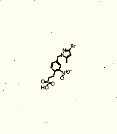 Cc1cc(Br)nn1Cc1ccc(CCS(=O)(=O)O)c([N+](=O)[O-])c1